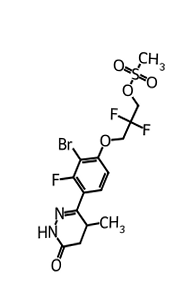 CC1CC(=O)NN=C1c1ccc(OCC(F)(F)COS(C)(=O)=O)c(Br)c1F